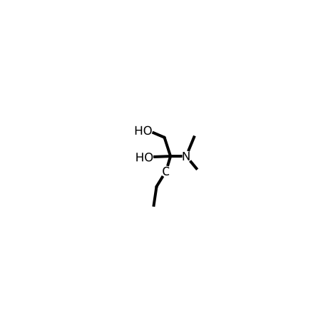 CCCC(O)(CO)N(C)C